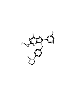 CCOc1nc(C)c2nc(-c3cncc(F)c3)n(Cc3ccc(C4CCCN4C)cc3)c2n1